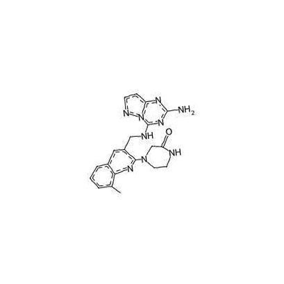 Cc1cccc2cc(CNc3nc(N)nc4ccnn34)c(N3CCNC(=O)C3)nc12